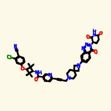 CC1(C)[C@H](NC(=O)c2ccc(C#CCN3CCC4(CC3)CN(c3ccc5c(=O)n(C6CCC(=O)NC6=O)nnc5c3)C4)nc2)C(C)(C)[C@H]1Oc1ccc(C#N)c(Cl)c1